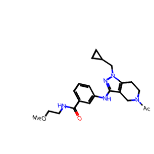 COCCNC(=O)c1cccc(Nc2nn(CC3CC3)c3c2CN(C(C)=O)CC3)c1